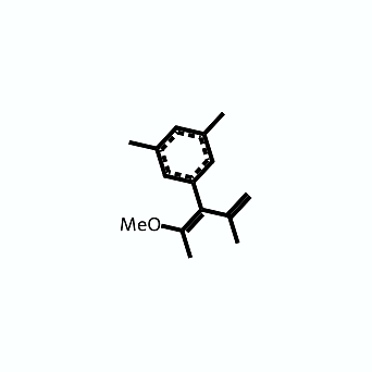 C=C(C)/C(=C(\C)OC)c1cc(C)cc(C)c1